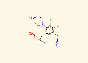 CC(C)(C)OC=O.N#CCc1ccc(N2CCNCC2)c(F)c1F